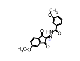 COc1cccc(C(=O)N/N=c2\c(=O)c3ccc(OC)cc3c2=O)c1